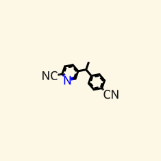 CC(c1ccc(C#N)cc1)c1ccc(C#N)nc1